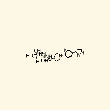 CC(C)(C)NN(O)NOC1CCN(c2ccc(-n3ccnn3)cn2)CC1